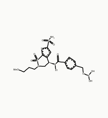 CCN(C(=O)c1ccc(CON(O)O)cc1)[C@H]1CN(CCCOC)S(=O)(=O)c2sc(S(N)(=O)=O)cc21